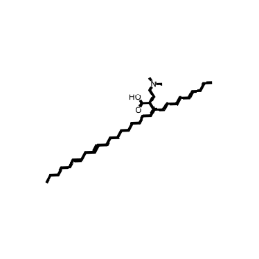 CCCCCC=CCC=CCCCCCCCCCC(CCCCCCCCC)C(CCN(C)C)C(=O)O